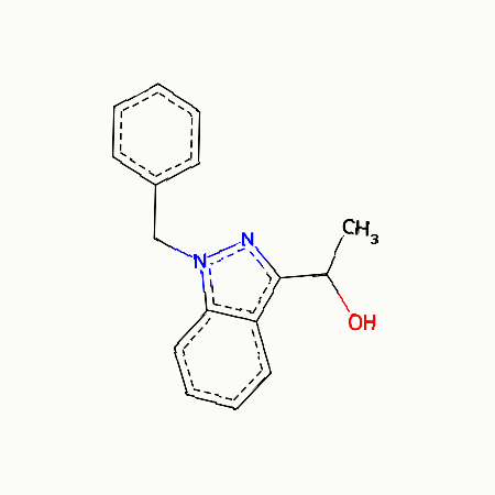 CC(O)c1nn(Cc2ccccc2)c2ccccc12